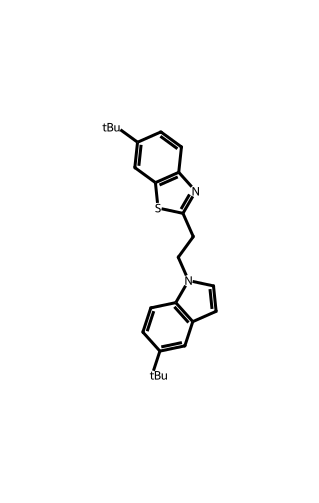 CC(C)(C)c1ccc2c(ccn2CCc2nc3ccc(C(C)(C)C)cc3s2)c1